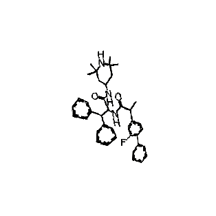 CC(C(=O)N[C@H](C(=O)NC1CC(C)(C)NC(C)(C)C1)C(c1ccccc1)c1ccccc1)c1ccc(-c2ccccc2)c(F)c1